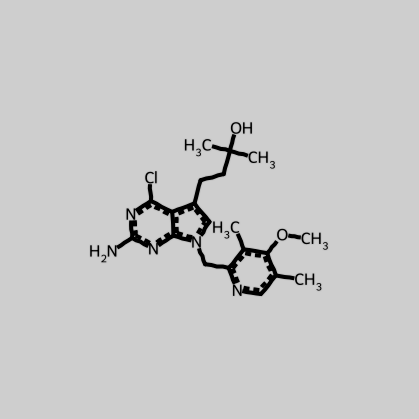 COc1c(C)cnc(Cn2cc(CCC(C)(C)O)c3c(Cl)nc(N)nc32)c1C